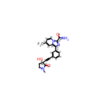 CN1CC[C@@](O)(C#Cc2cccc(-c3nc(C(N)=O)n4ccc(C(F)(F)F)cc34)c2)C1=O